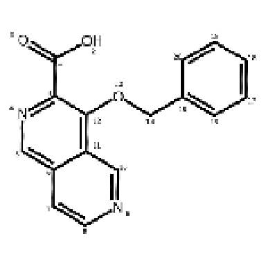 O=C(O)c1ncc2ccncc2c1OCc1ccccc1